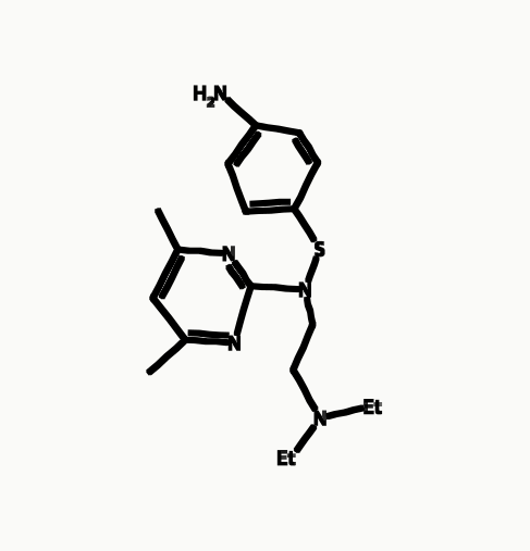 CCN(CC)CCN(Sc1ccc(N)cc1)c1nc(C)cc(C)n1